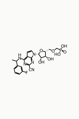 CC(Nc1nc(C#N)nc2c1ccn2[C@@H]1O[C@H](COCP(=O)(O)O)[C@@H](O)[C@H]1O)c1cccc(F)c1